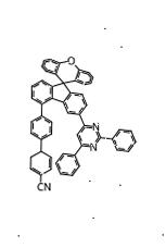 N#CC1=CCC(c2ccc(-c3cccc4c3-c3cc(-c5cc(-c6ccccc6)nc(-c6ccccc6)n5)ccc3C43c4ccccc4Oc4ccccc43)cc2)C=C1